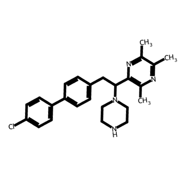 Cc1nc(C)c(C(Cc2ccc(-c3ccc(Cl)cc3)cc2)N2CCNCC2)nc1C